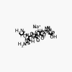 CCC(CN)O/N=C(/C(=O)NC1C(=O)N2C(C(=O)[O-])=C(CSc3nnnn3CC(=O)O)CS[C@H]12)c1csc(N)n1.[Na+]